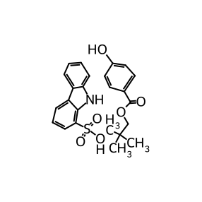 CC(C)(C)COC(=O)c1ccc(O)cc1.O=S(=O)(O)c1cccc2c1[nH]c1ccccc12